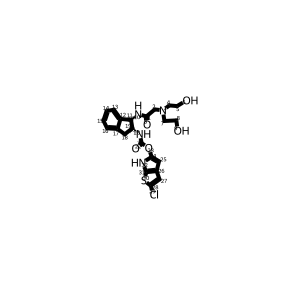 O=C(CN(CCO)CCO)N[C@@H]1c2ccccc2C[C@H]1NC(=O)Oc1cc2cc(Cl)sc2[nH]1